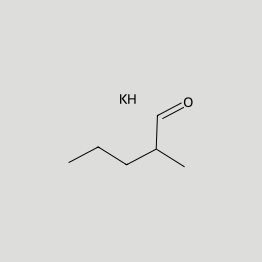 CCCC(C)C=O.[KH]